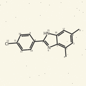 Cc1cc(C)c2nc(-c3ccc(Cl)cc3)[nH]c2c1